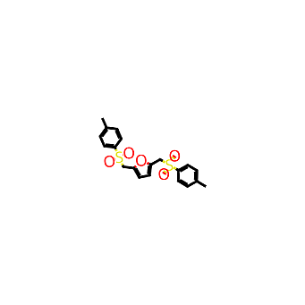 Cc1ccc(S(=O)(=O)Cc2ccc(CS(=O)(=O)c3ccc(C)cc3)o2)cc1